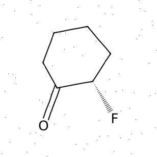 O=C1CCCC[C@@H]1F